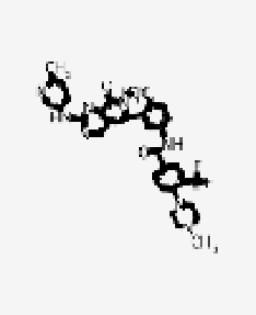 Cc1ccc(Nc2ncc3cc(-c4cc(NC(=O)c5ccc(N6CCN(C)CC6)c(C(F)(F)F)c5)ccc4C)n(C)c(=O)c3n2)cn1